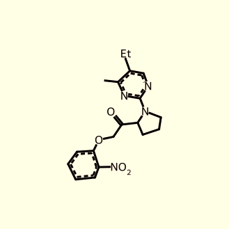 CCc1cnc(N2CCCC2C(=O)COc2ccccc2[N+](=O)[O-])nc1C